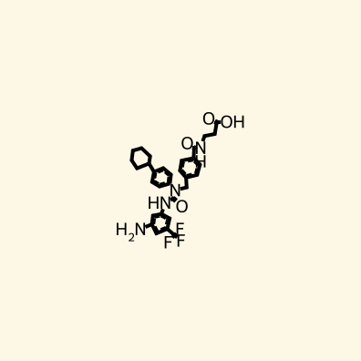 Nc1cc(NC(=O)N(Cc2ccc(C(=O)NCCC(=O)O)cc2)c2ccc(C3CCCCC3)cc2)cc(C(F)(F)F)c1